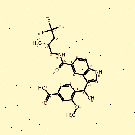 COc1cc(C(=O)O)ccc1C(C)c1c[nH]c2ccc(C(=O)NC[C@H](C)CC(F)(F)F)cc12